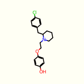 Oc1ccc(OCCN2CCCCC2Cc2ccc(Cl)cc2)cc1